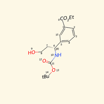 CCOC(=O)c1cccc([C@@H](CCO)NC(=O)OC(C)(C)C)c1